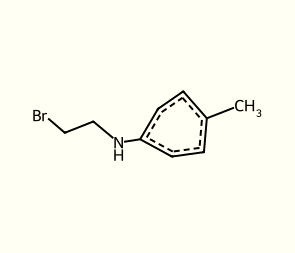 Cc1ccc(NCCBr)cc1